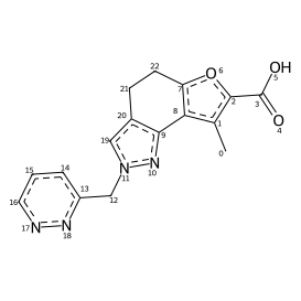 Cc1c(C(=O)O)oc2c1-c1nn(Cc3cccnn3)cc1CC2